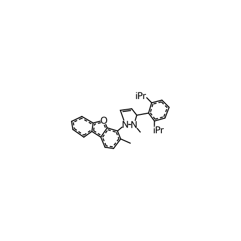 Cc1ccc2c(oc3ccccc32)c1N1C=CC(c2c(C(C)C)cccc2C(C)C)N1C